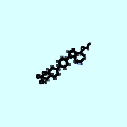 C/C=N\c1c(C(C)OCC)ncn1-c1ccc(C2CCC(CP(=O)(O)O)CC2)cc1